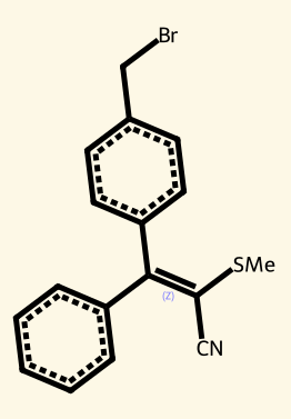 CS/C(C#N)=C(/c1ccccc1)c1ccc(CBr)cc1